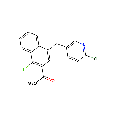 COC(=O)c1cc(Cc2ccc(Cl)nc2)c2ccccc2c1F